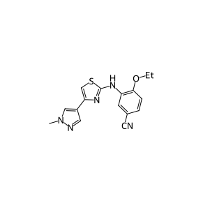 CCOc1ccc(C#N)cc1Nc1nc(-c2cnn(C)c2)cs1